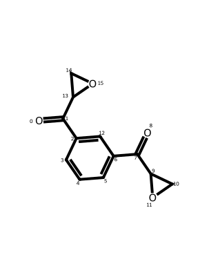 O=C(c1cccc(C(=O)C2CO2)c1)C1CO1